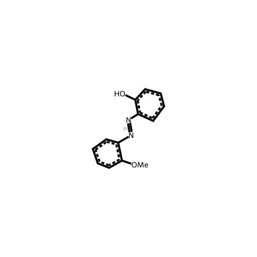 COc1ccccc1/N=N/c1ccccc1O